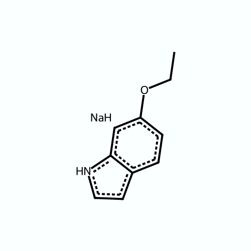 CCOc1ccc2cc[nH]c2c1.[NaH]